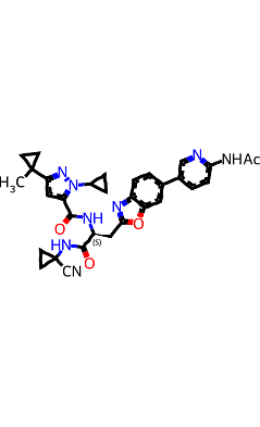 CC(=O)Nc1ccc(-c2ccc3nc(C[C@H](NC(=O)c4cc(C5(C)CC5)nn4C4CC4)C(=O)NC4(C#N)CC4)oc3c2)cn1